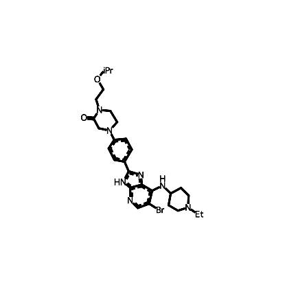 CCN1CCC(Nc2c(Br)cnc3[nH]c(-c4ccc(N5CCN(CCOC(C)C)C(=O)C5)cc4)nc23)CC1